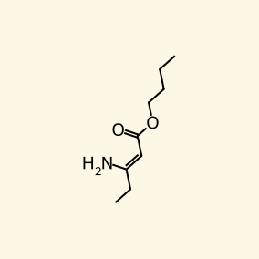 CCCCOC(=O)/C=C(\N)CC